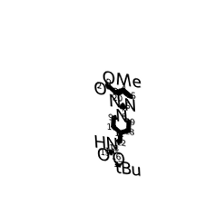 COC(=O)c1ccnc(N2CCC(CNC(=O)OC(C)(C)C)CC2)n1